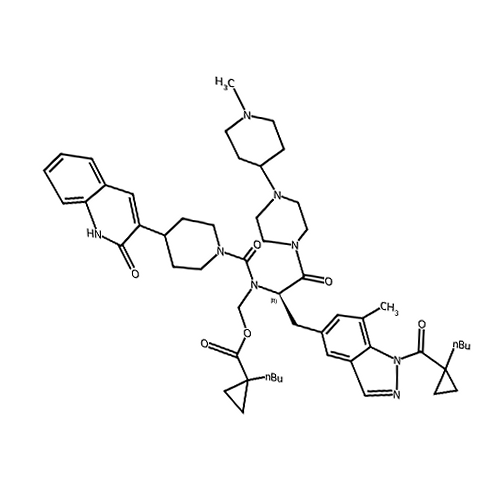 CCCCC1(C(=O)OCN(C(=O)N2CCC(c3cc4ccccc4[nH]c3=O)CC2)[C@H](Cc2cc(C)c3c(cnn3C(=O)C3(CCCC)CC3)c2)C(=O)N2CCN(C3CCN(C)CC3)CC2)CC1